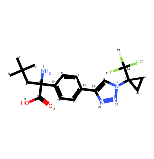 CC(C)(C)CC(N)(C(=O)O)c1ccc(-c2cn(C3(C(F)(F)F)CC3)nn2)cc1